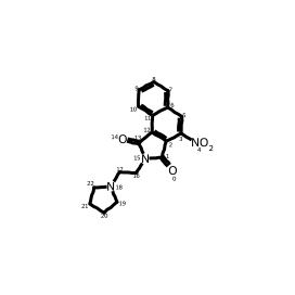 O=C1c2c([N+](=O)[O-])cc3ccccc3c2C(=O)N1CCN1CCCC1